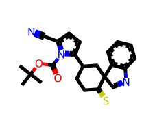 CC(C)(C)OC(=O)n1c(C#N)ccc1C1CCC(=S)C2(C=Nc3ccccc32)C1